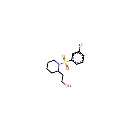 O=S(=O)(c1cccc(Cl)c1)N1CCCCC1CCO